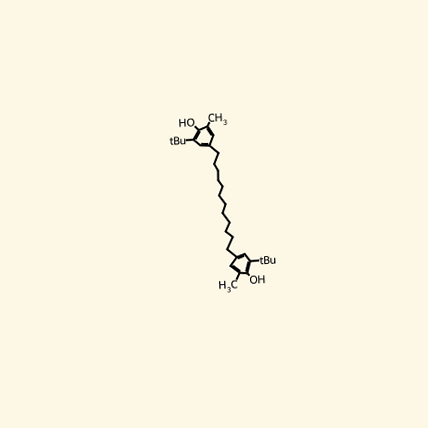 Cc1cc(CCCCCCCCCCCCc2cc(C)c(O)c(C(C)(C)C)c2)cc(C(C)(C)C)c1O